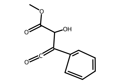 COC(=O)C(O)C(=C=O)c1ccccc1